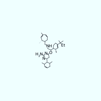 CCC(C)(C)C1=C[C@@H](C)C(C(CNCC2CC=CC(C)=C[C@H]2C)OC2=NC(N)=NC(C3C(C)C=CCC3C)C2)CC1